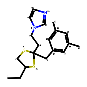 CCC1CSC(CCn2ccnc2)(Cc2cc(C)cc(C)c2)S1